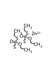 CCOP([O-])(=S)SCC.CCOP([O-])(=S)SCC.[Zn+2]